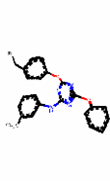 CC(C)Cc1ccc(Oc2nc(Nc3cccc(C(=O)O)c3)nc(Oc3ccccc3)n2)cc1